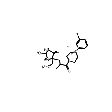 COCC1(CC(C)C(=O)N2CCN(c3cccc(F)c3)[C@@H](C)C2)NC(O)NC1=O